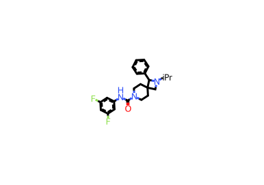 CC(C)N1CC2(CCN(C(=O)Nc3cc(F)cc(F)c3)CC2)C1c1ccccc1